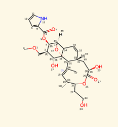 COC[C@H]1[C@@H](OC(=O)c2ccc[nH]2)[C@@H]2O[C@@]34/C(C)=C/[C@@H](C)C(CCO)OC(=O)[C@H](O)C[C@H]3C=CC2C4[C@@H]1O